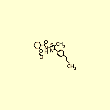 CCCCc1ccc(-c2nc(NC(=O)C3CCCCC3OC=O)sc2C)cc1